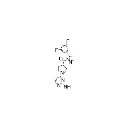 CNc1nccc(N2CCC(C(=O)N3N=CCC3c3cc(F)cc(F)c3)CC2)n1